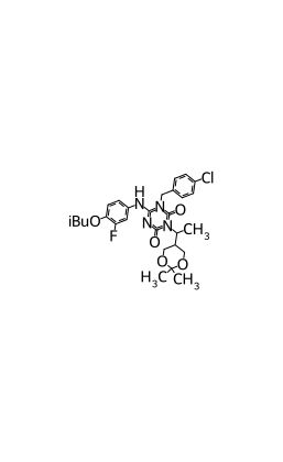 CC(C)COc1ccc(Nc2nc(=O)n(C(C)C3COC(C)(C)OC3)c(=O)n2Cc2ccc(Cl)cc2)cc1F